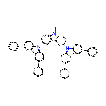 C1=CC(n2c3c(c4cc(-c5ccccc5)ccc42)C=C(c2ccccc2)CC3)Cc2c1[nH]c1ccc(-n3c4ccc(-c5ccccc5)cc4c4cc(-c5ccccc5)ccc43)cc21